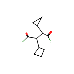 O=C(Cl)C(C1CCC1)C(C(=O)Cl)C1CC1